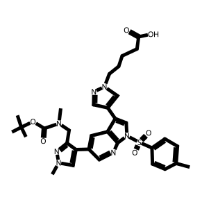 Cc1ccc(S(=O)(=O)n2cc(-c3cnn(CCCCC(=O)O)c3)c3cc(-c4cn(C)nc4CN(C)C(=O)OC(C)(C)C)cnc32)cc1